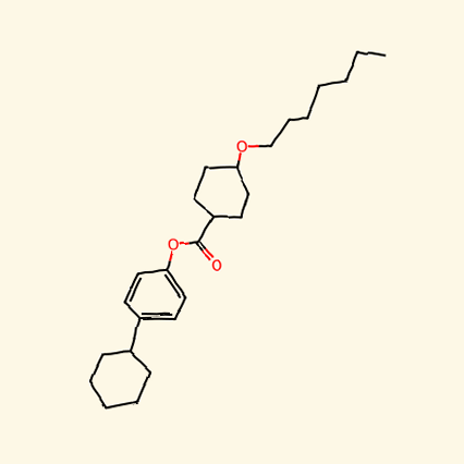 CCCCCCCOC1CCC(C(=O)Oc2ccc(C3CCCCC3)cc2)CC1